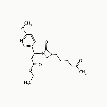 CCOC(=O)C[C@@H](c1ccc(OC)nc1)N1CC(CCCCC(C)=O)C1=O